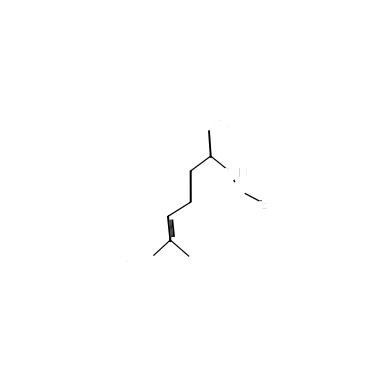 CCCCC(CCC=C(C)C(=O)O)[SiH2]OCC